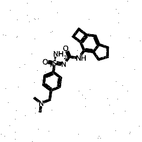 CN(C)Cc1ccc([S@](N)(=O)=NC(=O)Nc2c3c(cc4c2CC4)CCC3)cc1